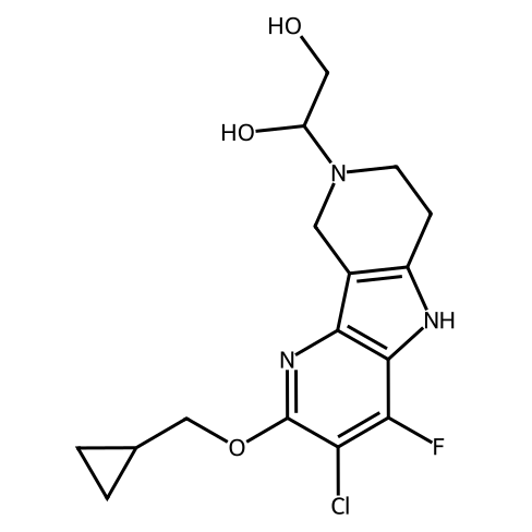 OCC(O)N1CCc2[nH]c3c(F)c(Cl)c(OCC4CC4)nc3c2C1